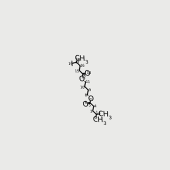 CC(C)CCC(=O)OCCCCOC(=O)CCC(C)I